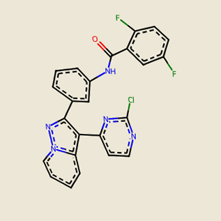 O=C(Nc1cccc(-c2nn3ccccc3c2-c2ccnc(Cl)n2)c1)c1cc(F)ccc1F